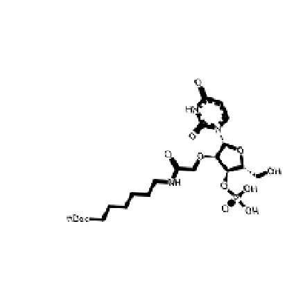 CCCCCCCCCCCCCCCCNC(=O)CO[C@@H]1[C@H](OP(=O)(O)O)[C@@H](CO)O[C@H]1n1ccc(=O)[nH]c1=O